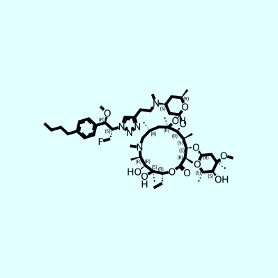 CCCCc1ccc([C@@H](OC)[C@@H](CF)n2cc(CCN(C)[C@@H]3C[C@H](O[C@@H]4[C@@H](C)[C@H](O[C@H]5C[C@@](C)(OC)[C@@H](O)[C@H](C)O5)[C@@H](C)C(=O)O[C@H](CC)[C@@](C)(O)[C@H](O)[C@@H](C)N(C)C[C@H](C)C[C@@]4(C)O)O[C@H](C)C3)nn2)cc1